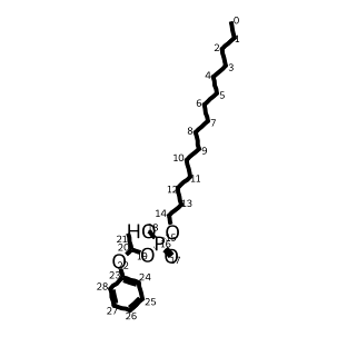 CCCCCCCCCCCCCCCOP(=O)(O)OC(C)Oc1ccccc1